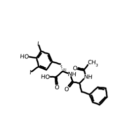 CC(=O)NC(Cc1ccccc1)C(=O)N[C@@H](Cc1cc(I)c(O)c(I)c1)C(=O)O